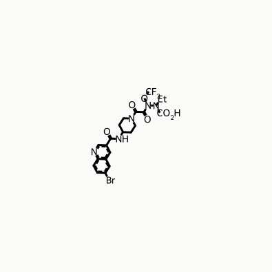 CCN(C(=O)O)N(OC(F)(F)F)C(=O)C(=O)N1CCC(NC(=O)c2cnc3ccc(Br)cc3c2)CC1